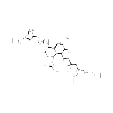 CCC(C)C(=O)OC1CC/C(=N\OCc2cc(C)on2)C2=CC(=O)C(C)C(CCC(=O)CC(O)CC(=O)O)C21